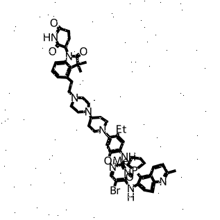 CCc1cc(Nc2ncc(Br)c(Nc3ccc4nc(C)ccc4c3P3(=O)CCCC3)n2)c(OC)cc1N1CCC(N2CCN(CCc3cccc4c3C(C)(C)C(=O)N4C3CCC(=O)NC3=O)CC2)CC1